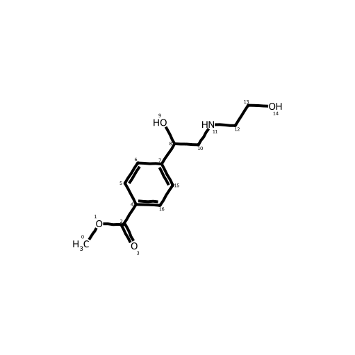 COC(=O)c1ccc(C(O)CNCCO)cc1